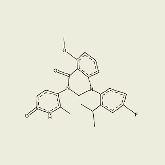 COc1cccc2c1C(=O)N(c1ccc(=O)[nH]c1C)CN2c1ccc(F)cc1C(C)C